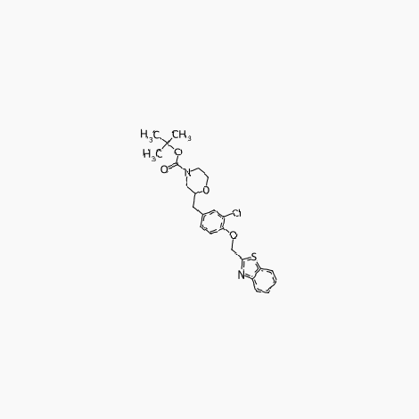 CC(C)(C)OC(=O)N1CCOC(Cc2ccc(OCc3nc4ccccc4s3)c(Cl)c2)C1